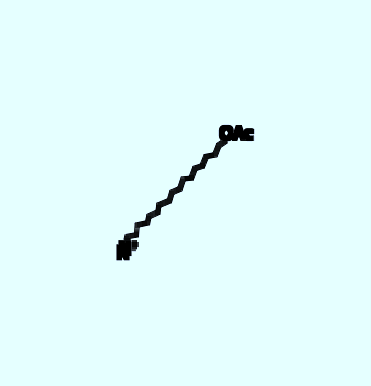 CC(=O)OCCCCCCCCCCCCCCCCCC=[N+]=[N-]